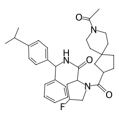 CC(=O)N1CCC2(CCC(C(=O)N3CC(F)CC3C(=O)NC(c3ccccc3)c3ccc(C(C)C)cc3)C2)CC1